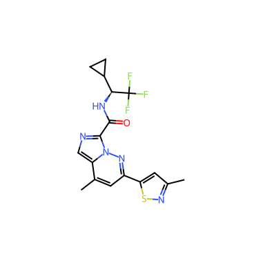 Cc1cc(-c2cc(C)c3cnc(C(=O)N[C@@H](C4CC4)C(F)(F)F)n3n2)sn1